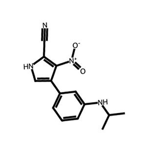 CC(C)Nc1cccc(-c2c[nH]c(C#N)c2[N+](=O)[O-])c1